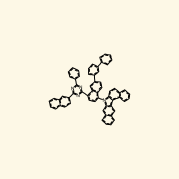 c1ccc(-c2cccc(-c3ccc4c(-n5c6cc7ccccc7cc6c6c7ccccc7ccc65)ccc(-c5nc(-c6ccccc6)nc(-c6ccc7ccccc7c6)n5)c4c3)c2)cc1